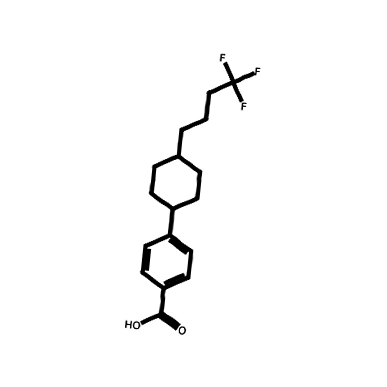 O=C(O)c1ccc(C2CCC(CCCC(F)(F)F)CC2)cc1